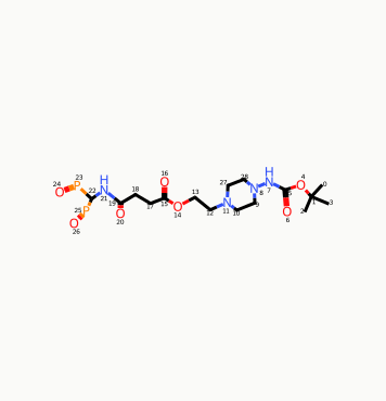 CC(C)(C)OC(=O)NN1CCN(CCOC(=O)CCC(=O)NC(P=O)P=O)CC1